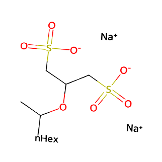 CCCCCCC(C)OC(CS(=O)(=O)[O-])CS(=O)(=O)[O-].[Na+].[Na+]